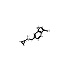 Clc1c[nH]c2cc(CNC3CC3)ccc12